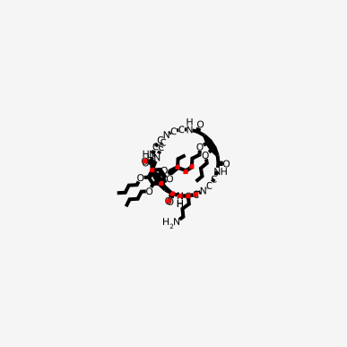 CCCCOc1c2ccc(c1OCCCC)C(=O)NCCN1CCNC(=O)c3ccc(c(OCCCC)c3OCCCC)C(=O)NCCN(CCNC2=O)CCNC(=O)c2ccc(c(OCCCC)c2OCCCC)C(=O)NC(CCCN)C1